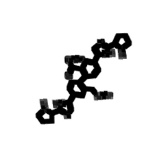 CNCc1cc(-c2cnc(C3CCCN3)[nH]2)ccc1-c1ccc(-c2cnc(C3CCCN3)[nH]2)cc1C(=O)OC